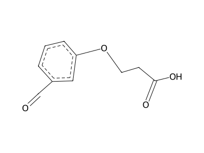 O=Cc1cccc(OCCC(=O)O)c1